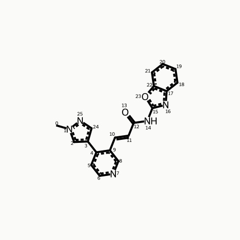 Cn1cc(-c2ccncc2/C=C/C(=O)Nc2nc3ccccc3o2)cn1